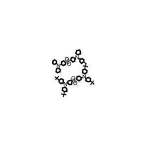 CC(C)(C)c1ccc(N(c2ccc(C(C)(C)C)cc2)c2ccc(S(=O)(=O)c3ccc(N(c4ccc(C(C)(C)C)cc4)c4ccc(C(C)(C)Cc5ccc(N(c6ccccc6)c6ccc(S(=O)(=O)c7ccc(N(c8ccccc8)c8ccccc8)cc7)cc6)cc5)cc4)cc3)cc2)cc1